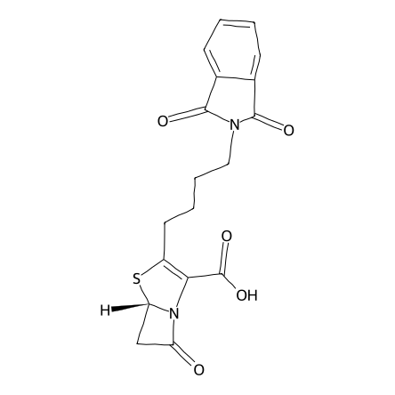 O=C(O)C1=C(CCCCN2C(=O)c3ccccc3C2=O)S[C@H]2CC(=O)N12